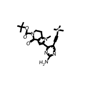 Cn1c(-c2nc(N)ncc2C#CS(C)(C)C)cc2c1CCN(C(=O)OC(C)(C)C)C2=O